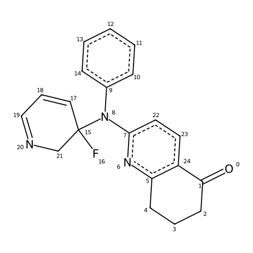 O=C1CCCc2nc(N(c3ccccc3)C3(F)C=CC=NC3)ccc21